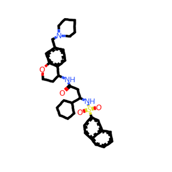 O=C(CC(NS(=O)(=O)c1ccc2ccccc2c1)C1CCCCC1)NC1CCOc2cc(CN3CCCCC3)ccc21